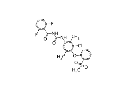 Cc1cc(NC(=O)NC(=O)c2c(F)cccc2F)c(C)c(Cl)c1Oc1ccccc1S(C)(=O)=O